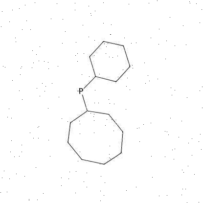 C1CCCC([P]C2CCCCC2)CCC1